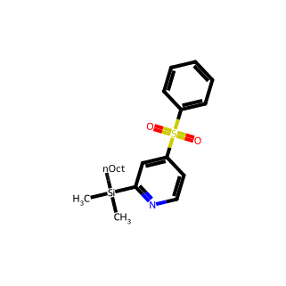 CCCCCCCC[Si](C)(C)c1cc(S(=O)(=O)c2ccccc2)ccn1